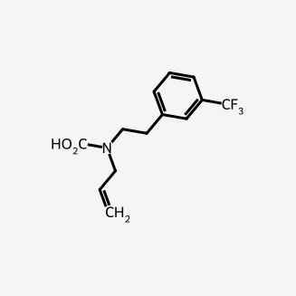 C=CCN(CCc1cccc(C(F)(F)F)c1)C(=O)O